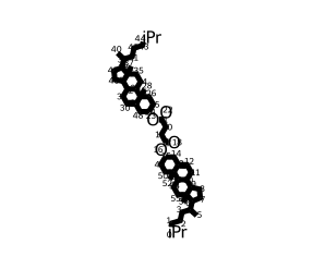 CC(C)CCCC(C)C1CCC2C3CC=C4CC(OC(=O)CCC(=O)OC5CCC6(C)C(=CCC7C6CCC6(C)C(C(C)CCCC(C)C)CCC76)C5)CCC4(C)C3CCC12C